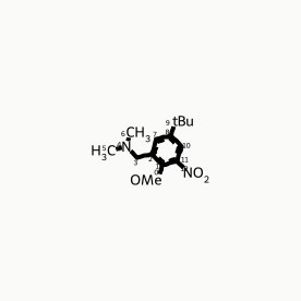 COc1c(CN(C)C)cc(C(C)(C)C)cc1[N+](=O)[O-]